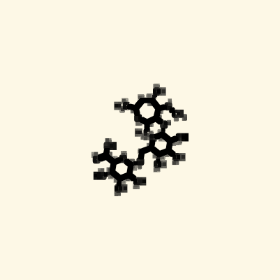 COC1C(O[C@H]2OC(CO[C@H]3OC(C(=O)O)[C@@H](O)[C@H](O)C3O)[C@@H](O)C(O)C2O)C(C)OC(C)C[C@@H]1O